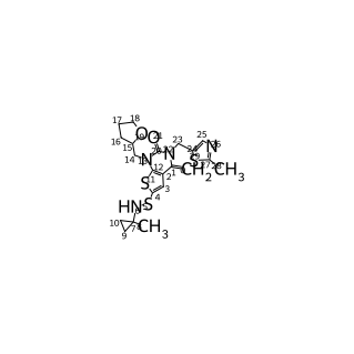 C=C1c2cc(SNC3(C)CC3)sc2N(CC2CCCO2)C(=O)N1Cc1cnc(C)s1